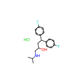 CC(C)NCC(O)CC(c1ccc(F)cc1)c1ccc(F)cc1.Cl